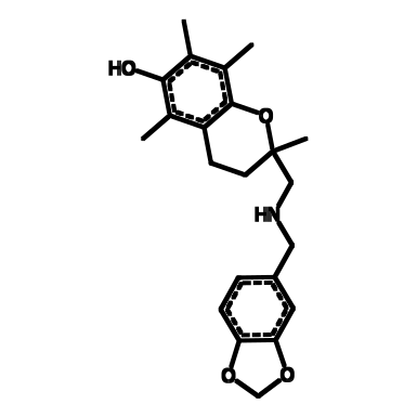 Cc1c(C)c2c(c(C)c1O)CCC(C)(CNCc1ccc3c(c1)OCO3)O2